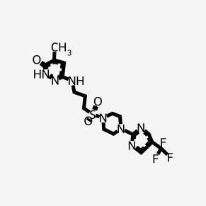 Cc1cc(NCCCS(=O)(=O)N2CCN(c3ncc(C(F)(F)F)cn3)CC2)n[nH]c1=O